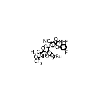 C=C(NC(=O)C(F)(F)F)C(=O)N(C)[C@@H](COC(C)(C)C)C(=O)N1C[C@@]2(C[C@H]1C#N)Oc1cc(F)cc(F)c1NC2=O